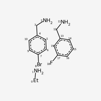 CCN.NCc1ccc(Br)cc1.NCc1cccc(F)c1